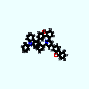 c1ccc(-c2cc(-c3ccc4c(c3)oc3ccccc34)cc(-c3cccc4oc5ccc(-c6cccc7c6c6ccccc6n7-c6ccccc6)cc5c34)n2)cc1